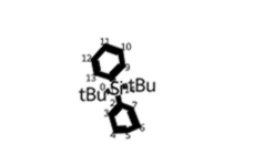 CC(C)(C)[Si](c1ccccc1)(c1ccccc1)C(C)(C)C